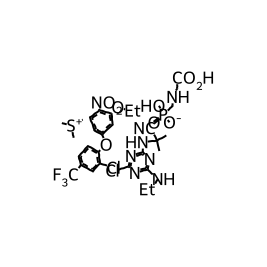 CCNc1nc(Cl)nc(NC(C)(C)C#N)n1.CCOc1cc(Oc2ccc(C(F)(F)F)cc2Cl)ccc1[N+](=O)[O-].C[S+](C)C.O=C(O)CNCP(=O)([O-])O